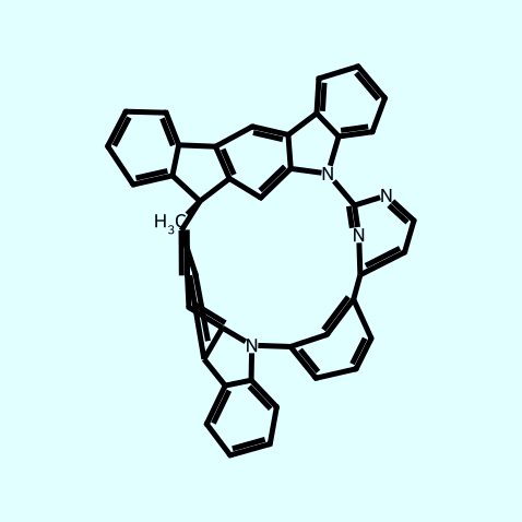 CC12c3ccc4c(c3)c3ccccc3n4-c3cccc(c3)-c3ccnc(n3)-n3c4ccccc4c4cc(c1cc43)-c1ccccc12